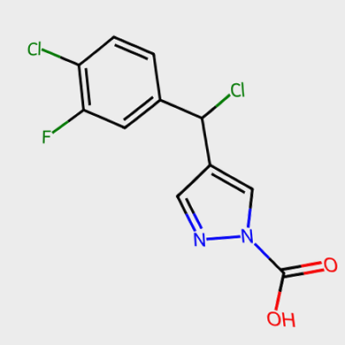 O=C(O)n1cc(C(Cl)c2ccc(Cl)c(F)c2)cn1